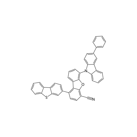 N#Cc1ccc(-c2ccc3c(c2)sc2ccccc23)c2c1oc1c(-n3c4ccccc4c4cc(-c5ccccc5)ccc43)cccc12